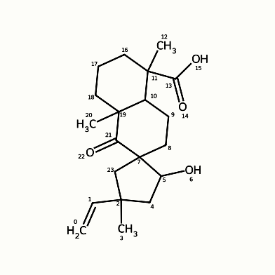 C=CC1(C)CC(O)C2(CCC3C(C)(C(=O)O)CCCC3(C)C2=O)C1